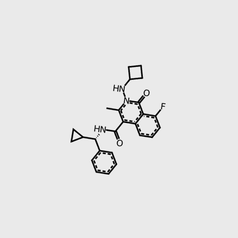 Cc1c(C(=O)N[C@H](c2ccccc2)C2CC2)c2cccc(F)c2c(=O)n1NC1CCC1